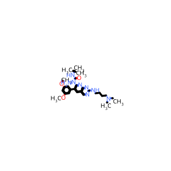 CCN(CC)CCCCNc1ncc2cc(-c3cc(OC)cc(OC)c3)c(N(N)C(=O)NC(C)(C)C)nc2n1